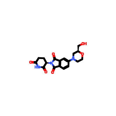 O=C1CC[C@@H](N2C(=O)c3ccc(N4CCO[C@H](CO)C4)cc3C2=O)C(=O)N1